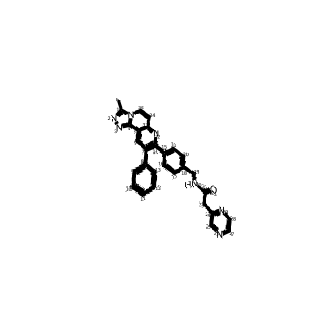 Cc1nnc2c3cc(-c4ccccc4)c(-c4ccc(CNC(=O)Cc5cnccn5)cc4)nc3ccn12